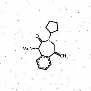 C=C1CN(C2CCCC2)C(=O)C(NC)c2ccccc21